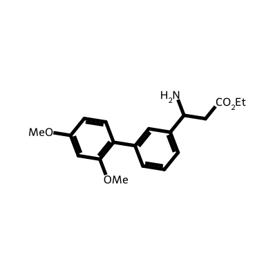 CCOC(=O)CC(N)c1cccc(-c2ccc(OC)cc2OC)c1